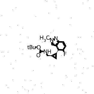 Cn1cc2c(n1)C=CC(F)C2[C@@H]1C[C@H]1CNC(=O)OC(C)(C)C